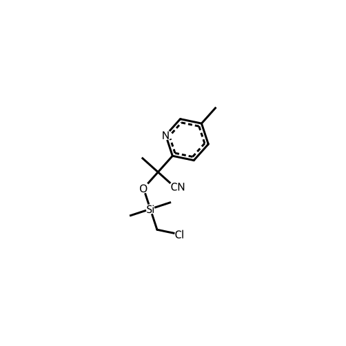 Cc1ccc(C(C)(C#N)O[Si](C)(C)CCl)nc1